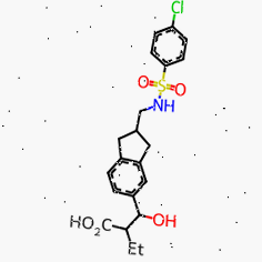 CCC(C(=O)O)C(O)c1ccc2c(c1)CC(CNS(=O)(=O)c1ccc(Cl)cc1)C2